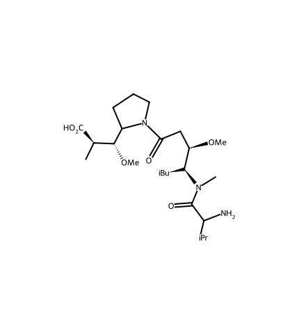 CC[C@H](C)[C@@H]([C@@H](CC(=O)N1CCCC1[C@H](OC)[C@@H](C)C(=O)O)OC)N(C)C(=O)C(N)C(C)C